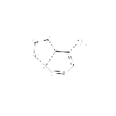 NC1=CI=CC2NCCC12